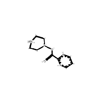 O=C(ON1CCNCC1)c1ncccn1